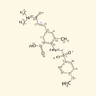 COc1ccc(S(=O)(=O)CNc2c(C)cc(/C=C/C(=O)N(C)C)cc2C(=O)O)cc1